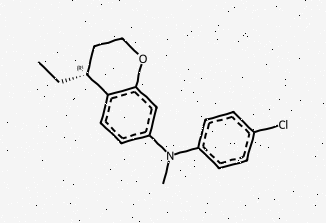 CC[C@@H]1CCOc2cc(N(C)c3ccc(Cl)cc3)ccc21